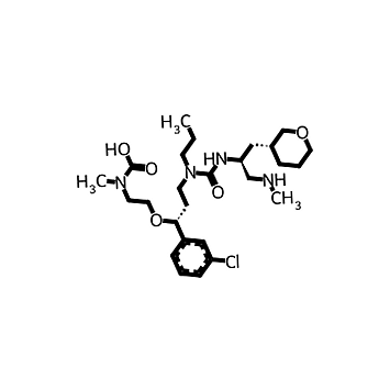 CCCN(CC[C@@H](OCCN(C)C(=O)O)c1cccc(Cl)c1)C(=O)N[C@H](CNC)C[C@H]1CCCOC1